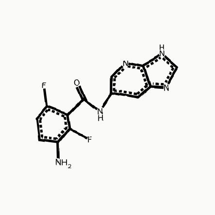 Nc1ccc(F)c(C(=O)Nc2cnc3[nH]cnc3c2)c1F